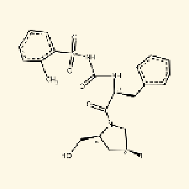 Cc1ccccc1S(=O)(=O)NC(=O)N[C@@H](Cc1ccccc1)C(=O)N1C[C@@H](I)C[C@H]1CO